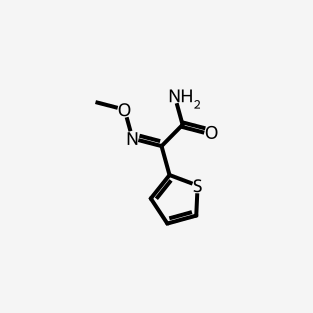 CON=C(C(N)=O)c1cccs1